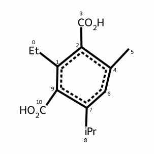 CCc1c(C(=O)O)c(C)cc(C(C)C)c1C(=O)O